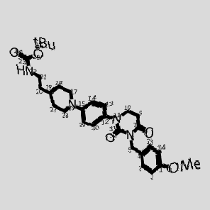 COc1ccc(CN2C(=O)CCN(c3ccc(N4CCC(CCNC(=O)OC(C)(C)C)CC4)cc3)C2=O)cc1